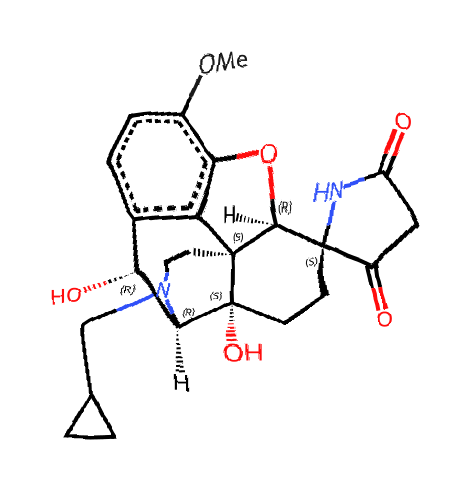 COc1ccc2c3c1O[C@@H]1[C@]34CCN(CC3CC3)[C@H]([C@@H]2O)[C@]4(O)CC[C@]12NC(=O)CC2=O